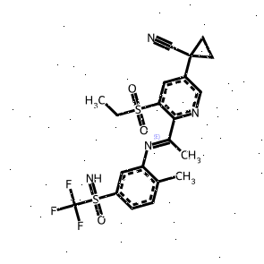 CCS(=O)(=O)c1cc(C2(C#N)CC2)cnc1/C(C)=N/c1cc(S(=N)(=O)C(F)(F)F)ccc1C